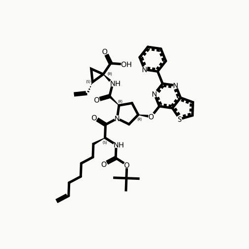 C=CCCCCC[C@H](NC(=O)OC(C)(C)C)C(=O)N1C[C@H](Oc2nc(-c3ccccn3)nc3ccsc23)C[C@@H]1C(=O)N[C@]1(C(=O)O)C[C@H]1C=C